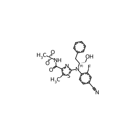 Cc1sc(N(c2ccc(C#N)cc2F)[C@@H](CO)Cc2ccccc2)nc1C(=O)NS(C)(=O)=O